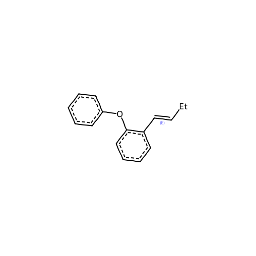 [CH2]C/C=C/c1ccccc1Oc1ccccc1